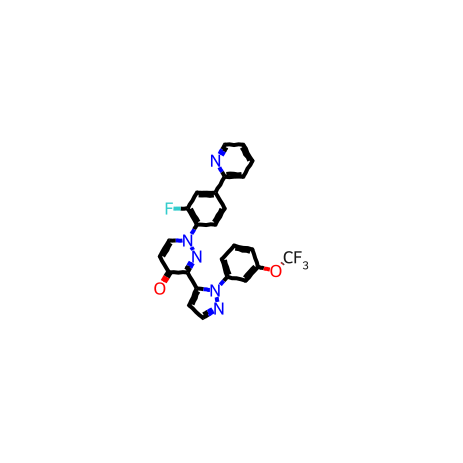 O=c1ccn(-c2ccc(-c3ccccn3)cc2F)nc1-c1ccnn1-c1cccc(OC(F)(F)F)c1